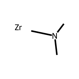 CN(C)C.[Zr]